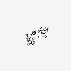 NC(=O)c1cc(C(F)(F)F)c2cccc(OCC34CCC(OCc5c(-c6c(Cl)cncc6Cl)noc5C5CC5)(CC3)CC4)c2n1